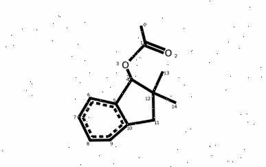 CC(=O)OC1c2ccccc2CC1(C)C